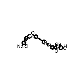 N#Cc1ccc(N2CCC3(CCN(C(=O)c4ccc(C#CC5CCN(C6CN(c7ccc8c(c7)C(=O)N(C7CCC(=O)NC7=O)C8=O)C6)CC5)cc4)CC3)C2)cc1Cl